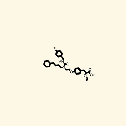 CCOC(Cc1ccc(OCCN(CCCCC2CCCCC2)C(=O)NCc2ccc(F)cc2)cc1)C(=O)O